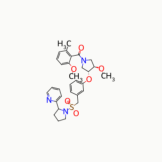 COc1cccc(C)c1C(=O)N1C[C@@H](OC)[C@H](Oc2cccc(CS(=O)(=O)N3CCCC3c3ccccn3)c2)C1